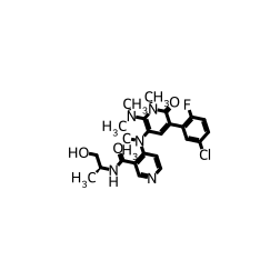 C[C@@H](CO)NC(=O)c1cnccc1N(C)c1cc(-c2cc(Cl)ccc2F)c(=O)n(C)c1N(C)C